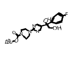 CC(C)(C)OC(=O)N1CCN(c2ncc(C(C)(CO)c3ccc(F)cc3)cn2)CC1